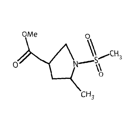 COC(=O)C1CC(C)N(S(C)(=O)=O)C1